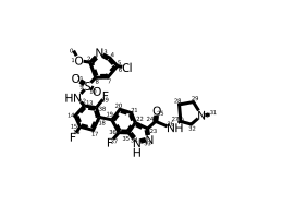 COc1ncc(Cl)cc1S(=O)(=O)Nc1cc(F)cc(-c2ccc3c(C(=O)N[C@H]4CCN(C)C4)n[nH]c3c2F)c1F